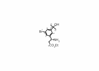 CCOC(=O)C[C@H](N)c1cc(Br)cc(C(C)(C)O)c1